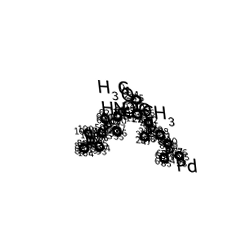 CCOc1cccc(-c2cc(C=C3C(=O)Nc4ccccc43)ccc2OC)c1.[Pd].c1ccc(P(c2ccccc2)c2ccccc2)cc1.c1ccc(P(c2ccccc2)c2ccccc2)cc1.c1ccc(P(c2ccccc2)c2ccccc2)cc1.c1ccc(P(c2ccccc2)c2ccccc2)cc1